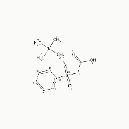 C[N+](C)(C)C.O=C(O)CS(=O)(=O)c1ccccc1